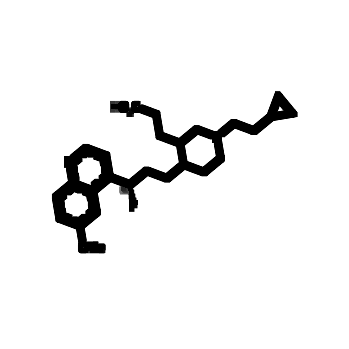 COc1ccc2nccc([C@@H](F)CCC3CCN(CCC4CC4)CC3CCC(=O)O)c2c1